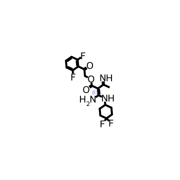 CC(=N)/C(C(=O)OCC(=O)c1c(F)cccc1F)=C(/N)NC1CCC(F)(F)CC1